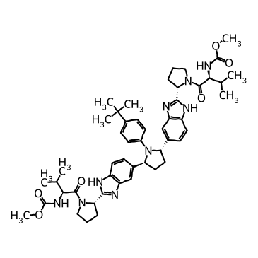 COC(=O)N[C@H](C(=O)N1CCC[C@H]1c1nc2cc([C@@H]3CC[C@@H](c4ccc5[nH]c([C@@H]6CCCN6C(=O)[C@@H](NC(=O)OC)C(C)C)nc5c4)N3c3ccc(C(C)(C)C)cc3)ccc2[nH]1)C(C)C